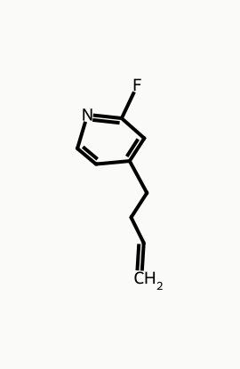 C=CCCc1ccnc(F)c1